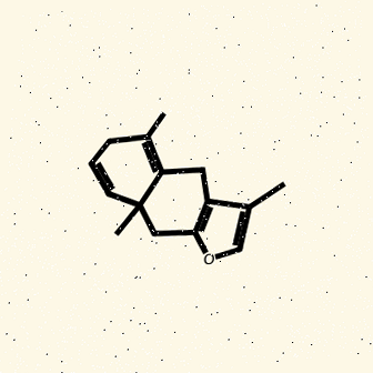 CC1=C2Cc3c(C)coc3CC2(C)C=CC1